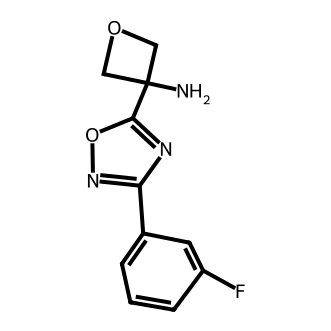 NC1(c2nc(-c3cccc(F)c3)no2)COC1